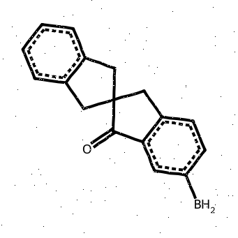 Bc1ccc2c(c1)C(=O)C1(Cc3ccccc3C1)C2